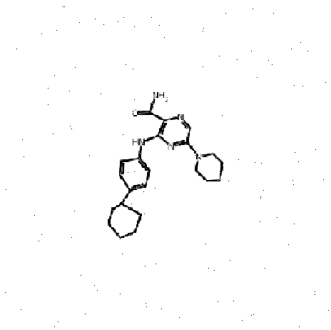 NC(=O)c1ncc(N2CCCCC2)nc1Nc1ccc(C2CCCCC2)cc1